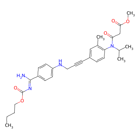 CCCCOC(=O)N=C(N)c1ccc(NCC#Cc2ccc(N(C(=O)CC(=O)OC)C(C)C)c(C)c2)cc1